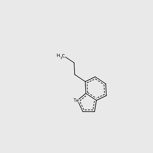 CCCc1cccc2cc[te]c12